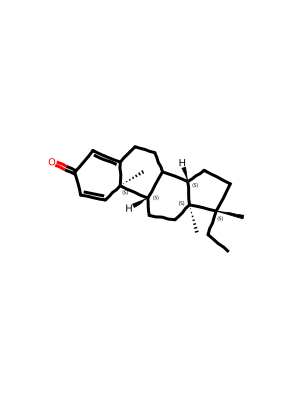 CC[C@@]1(C)CC[C@H]2C3CCC4=CC(=O)C=C[C@]4(C)[C@H]3CC[C@@]21C